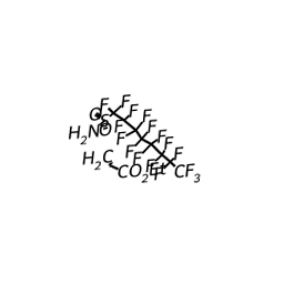 C=CC(=O)OCC.NS(=O)(=O)C(F)(F)C(F)(F)C(F)(F)C(F)(F)C(F)(F)C(F)(F)C(F)(F)C(F)(F)F